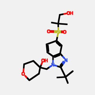 CC(C)(C)c1nc2cc(S(=O)(=O)C(C)(C)CO)ccc2n1CC1(O)CCOCC1